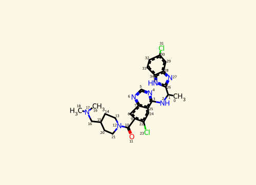 CC(Nc1ncnc2cc(C(=O)N3CCC(CN(C)C)CC3)c(Cl)cc12)c1nc2cc(Cl)ccc2[nH]1